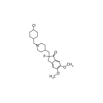 COc1cc2c(cc1OC)C(=O)C(F)(CC1CCN(CC3CCC(Cl)CC3)CC1)C2